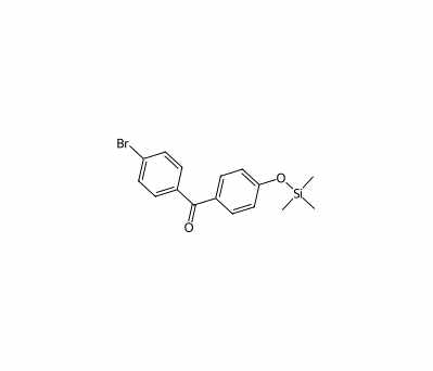 C[Si](C)(C)Oc1ccc(C(=O)c2ccc(Br)cc2)cc1